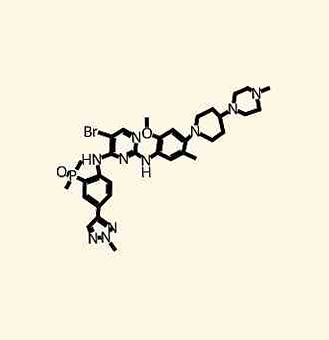 COc1cc(N2CCC(N3CCN(C)CC3)CC2)c(C)cc1Nc1ncc(Br)c(Nc2ccc(-c3cnn(C)n3)cc2P(C)(C)=O)n1